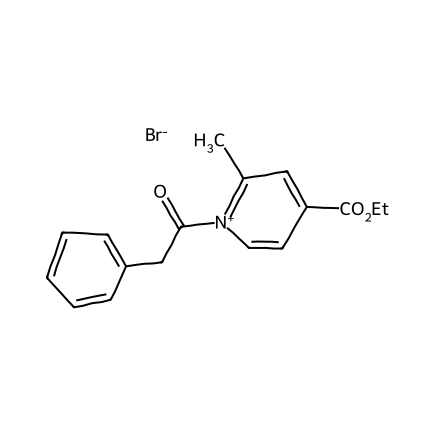 CCOC(=O)c1cc[n+](C(=O)Cc2ccccc2)c(C)c1.[Br-]